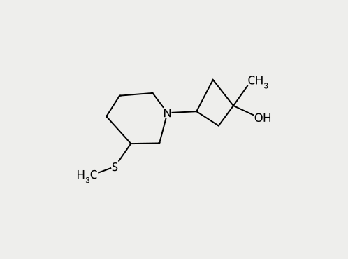 CSC1CCCN(C2CC(C)(O)C2)C1